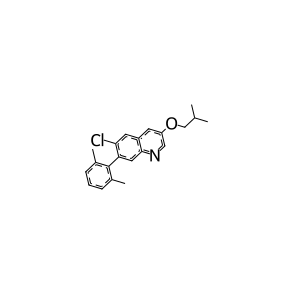 Cc1cccc(C)c1-c1cc2ncc(OCC(C)C)cc2cc1Cl